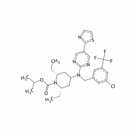 CC[C@@H]1CC(N(Cc2cc(Cl)cc(C(F)(F)F)c2)c2ncc(-c3nccs3)cn2)C[C@H](CC)N1C(=O)OC(C)C